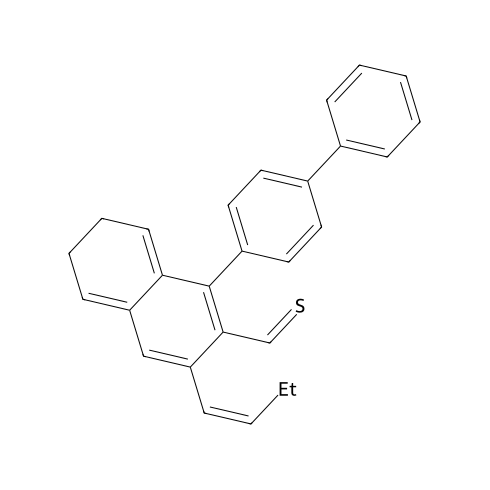 CC/C=C\c1cc2c(c(-c3ccc(-c4ccccc4)cc3)c1C=S)=CCCC=2